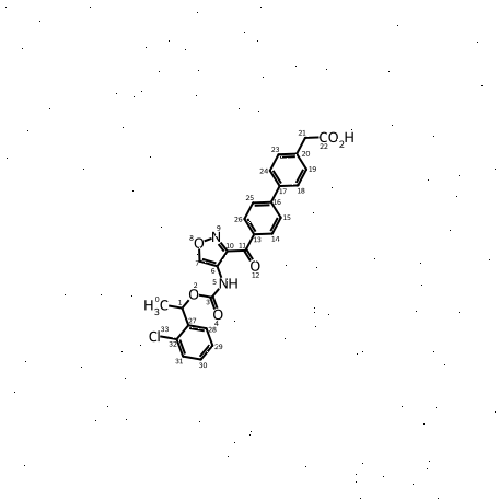 CC(OC(=O)Nc1conc1C(=O)c1ccc(-c2ccc(CC(=O)O)cc2)cc1)c1ccccc1Cl